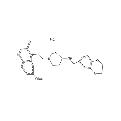 COc1ccc2ncc(=O)n(CCN3CCC(NCc4ccc5c(c4)SCCS5)CC3)c2c1.Cl